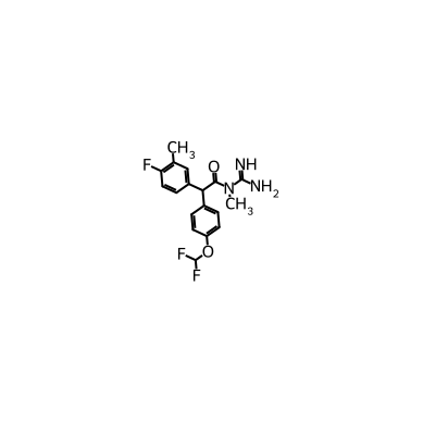 Cc1cc(C(C(=O)N(C)C(=N)N)c2ccc(OC(F)F)cc2)ccc1F